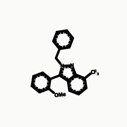 COc1ccccc1-c1c2cccc(C(F)(F)F)c2nn1Cc1ccccc1